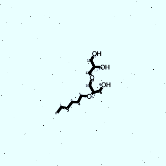 CCCCCCOC(CO)COCC(O)CO